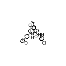 CC(C)Oc1ccc2oc(C(=O)Nc3ccc(Cl)cn3)c(NC(=O)[C@H]3CC[C@H](N4CCCC4=O)CC3)c2n1